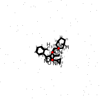 Cc1ccccc1-c1noc(C2CC2)c1CO[C@@H]1CC2CC[C@@H](C1)N2c1ccc(C(N)=O)cn1